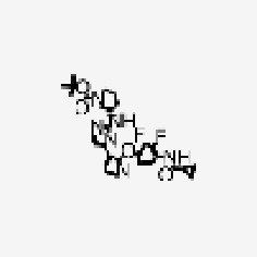 CC(C)(C)OC(=O)N1CCC[C@H](Nc2nccc(-c3cccnc3Oc3ccc(NC(=O)C4CC4)c(F)c3F)n2)C1